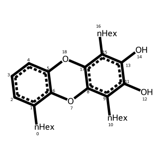 CCCCCCc1cccc2c1Oc1c(CCCCCC)c(O)c(O)c(CCCCCC)c1O2